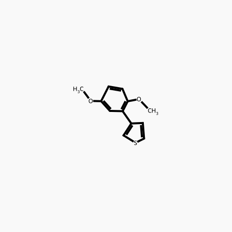 COc1ccc(OC)c(-c2ccsc2)c1